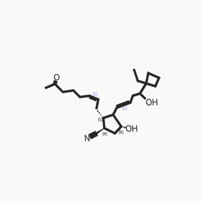 CCC1(C(O)C/C=C/C2[C@H](O)C[C@@H](C#N)[C@@H]2C/C=C\CCCC(C)=O)CCC1